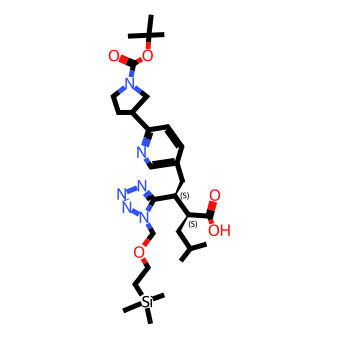 CC(C)C[C@H](C(=O)O)[C@H](Cc1ccc(C2CCN(C(=O)OC(C)(C)C)C2)nc1)c1nnnn1COCC[Si](C)(C)C